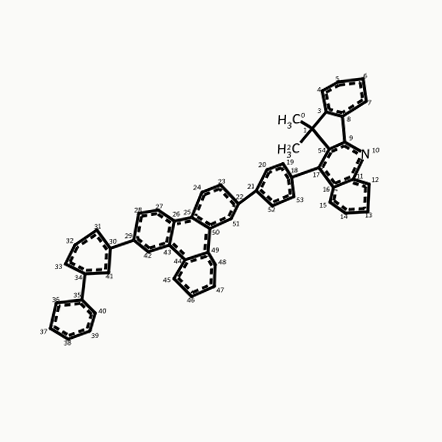 CC1(C)c2ccccc2-c2nc3ccccc3c(-c3ccc(-c4ccc5c6ccc(-c7cccc(-c8ccccc8)c7)cc6c6ccccc6c5c4)cc3)c21